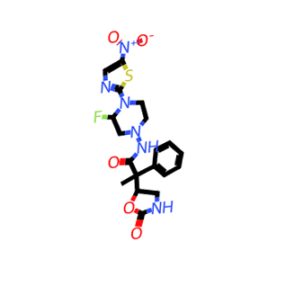 CC(C(=O)NN1CCN(c2ncc([N+](=O)[O-])s2)C(F)C1)(c1ccccc1)C1CNC(=O)O1